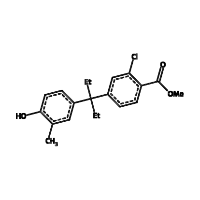 CCC(CC)(c1ccc(O)c(C)c1)c1ccc(C(=O)OC)c(Cl)c1